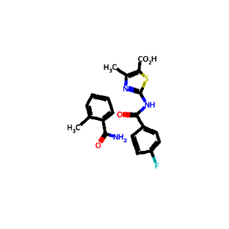 Cc1ccccc1C(N)=O.Cc1nc(NC(=O)c2ccc(F)cc2)sc1C(=O)O